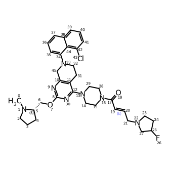 CN1CCC[C@H]1COc1nc2c(c(N3CCN(C(=O)/C=C/CN4CCC(F)C4)CC3)n1)CCN(c1cccc3cccc(Cl)c13)C2